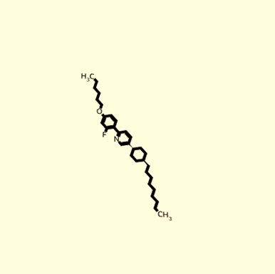 CCCCCCCCC[C@H]1CC[C@H](c2ccc(-c3ccc(OCCCCCC)cc3F)nc2)CC1